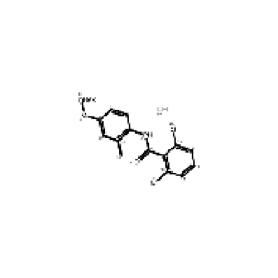 CCCCCCOc1ccc(PC(=O)c2c(Cl)cccc2Cl)c(C)c1.[LiH]